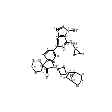 CC(C)n1cnc2cc(-c3ccc4c(c3)N([C@H]3C[C@@H](N5C6CCC5COC6)C3)C(=O)C43CCNCC3)nc(NC3CC3)c21